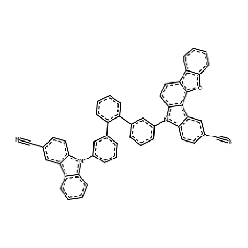 N#Cc1ccc2c(c1)c1ccccc1n2-c1cccc(-c2ccccc2-c2cccc(-n3c4ccc(C#N)cc4c4c5oc6ccccc6c5ccc43)c2)c1